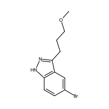 COCCCc1n[nH]c2ccc(Br)cc12